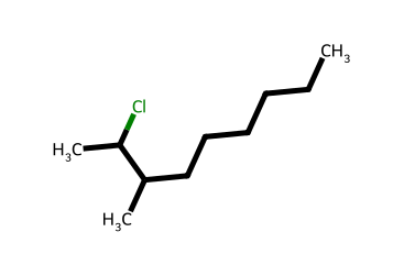 CCCCCCC(C)[C](C)Cl